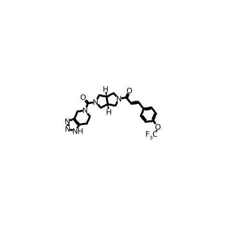 O=C(C=Cc1ccc(OC(F)(F)F)cc1)N1C[C@@H]2CN(C(=O)N3CCc4[nH]nnc4C3)C[C@@H]2C1